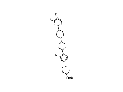 COC1CCC(c2ccc(C3CCC(C4CCC(c5ccc(F)c(F)c5)CC4)CC3)c(F)c2)CC1